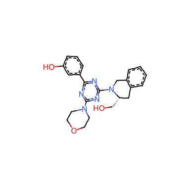 OC[C@H]1Cc2ccccc2CN1c1nc(-c2cccc(O)c2)nc(N2CCOCC2)n1